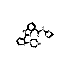 O=C(Nc1nccs1)c1cccc2[nH]c(-c3cccnc3N3CCNCC3)nc12